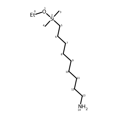 CCO[Si](C)(C)CCCCCCCCCN